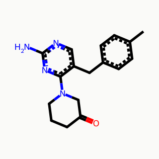 Cc1ccc(Cc2cnc(N)nc2N2CCCC(=O)C2)cc1